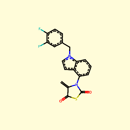 C=C1C(=O)SC(=O)N1c1cccc2c1ccn2Cc1ccc(F)c(F)c1